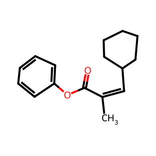 CC(=CC1CCCCC1)C(=O)Oc1ccccc1